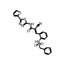 N#C/C(=C\c1ccccc1NS(=O)(=O)Cc1ccccc1)C(=O)Nc1nnc(-c2cccs2)s1